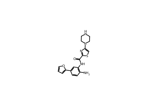 Nc1ccc(-c2ccco2)cc1NC(=O)c1nc(N2CCNCC2)cs1